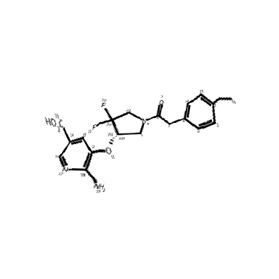 Cc1ccc(CC(=O)N2C[C@H](Oc3cc(C(=O)O)cnc3N)C(F)(F)C2)cc1